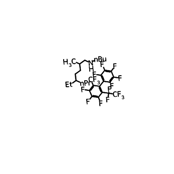 CCCCNCC(C)CCC(CC)CCC.Fc1c(F)c(F)c(-c2c(C(F)(F)F)c(F)c(F)c(F)c2C(F)(F)C(F)(F)F)c(F)c1F